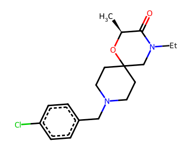 CCN1CC2(CCN(Cc3ccc(Cl)cc3)CC2)O[C@@H](C)C1=O